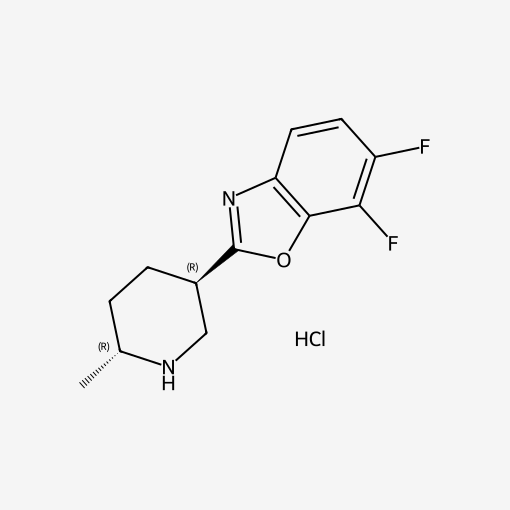 C[C@@H]1CC[C@@H](c2nc3ccc(F)c(F)c3o2)CN1.Cl